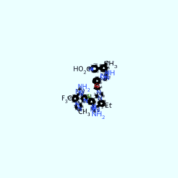 CCc1cc(-c2nc(N)nn2-c2ccc(F)cc2)cc(N2CCN(C3COC3)CC2)c1.CN1CCN(c2cc(-c3nc(N)nn3-c3ccncc3)cc(C(F)(F)F)c2)CC1.Cc1cc(Nc2ncn(-c3ccccc3)n2)cc(C2CCN(C(=O)O)CC2)c1